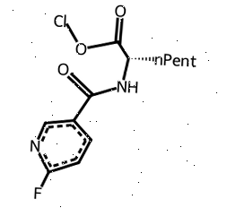 CCCCC[C@H](NC(=O)c1ccc(F)nc1)C(=O)OCl